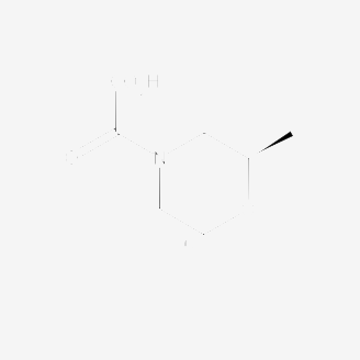 C[C@@H]1CN(C(=O)C(=O)O)C[C@@H](C)O1